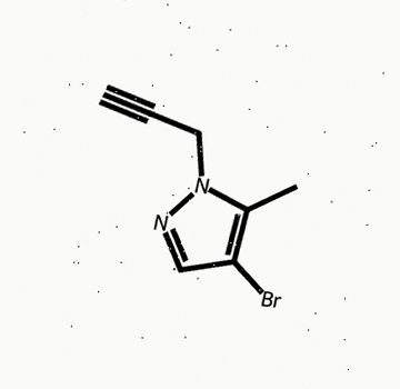 C#CCn1n[c]c(Br)c1C